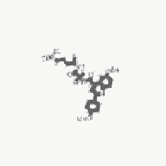 CCCCc1ccc2nc(-c3ccc(OC)cc3)cc(C(=O)NC(C)(C)C(=O)NC(C)CCCN(CC)CC)c2c1